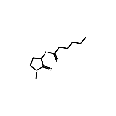 CCCCCC(=O)OC1CCN(C)C1=O